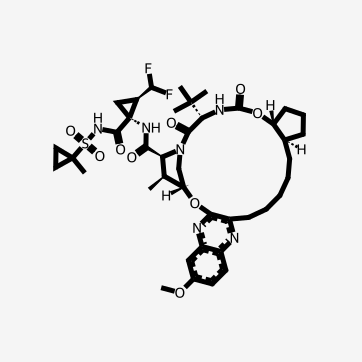 COc1ccc2nc3c(nc2c1)O[C@H]1CN(C(=O)[C@H](C(C)(C)C)NC(=O)O[C@@H]2CCC[C@H]2CCCCC3)[C@H](C(=O)N[C@]2(C(=O)NS(=O)(=O)C3(C)CC3)C[C@H]2C(F)F)[C@@H]1C